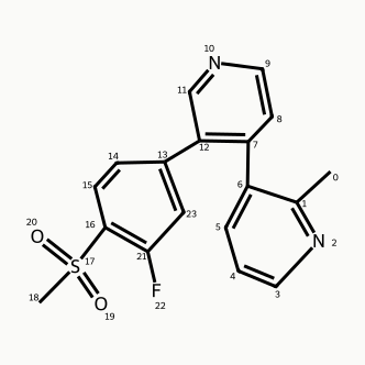 Cc1ncccc1-c1ccncc1-c1ccc(S(C)(=O)=O)c(F)c1